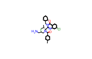 Cc1ccc(C(=O)N(CC(F)CN)[C@@H](c2nc3cc(Cl)ccc3c(=O)n2Cc2ccccc2)C(C)C)cc1